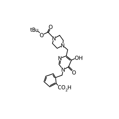 CC(C)(C)OC(=O)N1CCN(Cc2ncn(Cc3ccccc3C(=O)O)c(=O)c2O)CC1